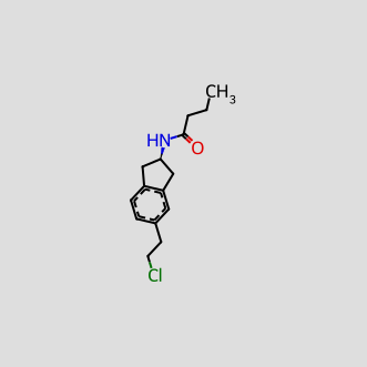 CCCC(=O)N[C@@H]1Cc2ccc(CCCl)cc2C1